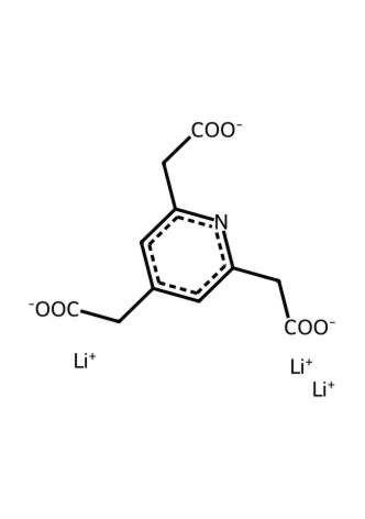 O=C([O-])Cc1cc(CC(=O)[O-])nc(CC(=O)[O-])c1.[Li+].[Li+].[Li+]